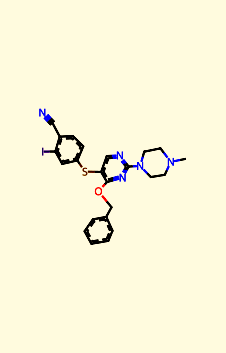 CN1CCN(c2ncc(Sc3ccc(C#N)c(I)c3)c(OCc3ccccc3)n2)CC1